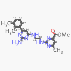 COC(=O)c1cc(C)nc(NCCNc2cc(-c3cccc(C)c3C)nc(N)n2)n1